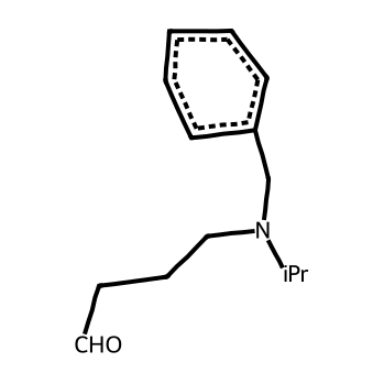 CC(C)N(CCCC=O)Cc1ccccc1